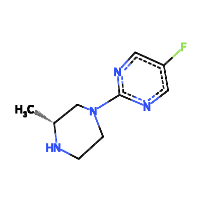 C[C@@H]1CN(c2ncc(F)cn2)CCN1